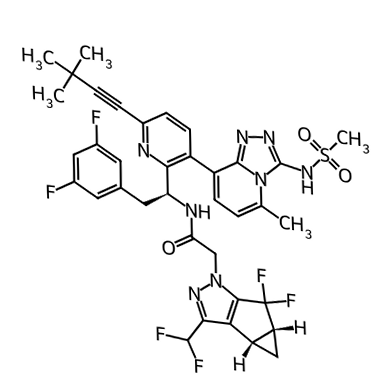 Cc1ccc(-c2ccc(C#CC(C)(C)C)nc2[C@H](Cc2cc(F)cc(F)c2)NC(=O)Cn2nc(C(F)F)c3c2C(F)(F)[C@@H]2C[C@H]32)c2nnc(NS(C)(=O)=O)n12